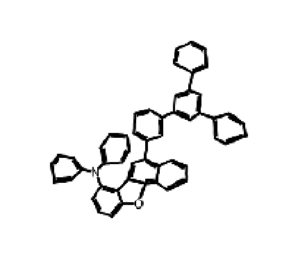 c1ccc(-c2cc(-c3ccccc3)cc(-c3cccc(-c4cc5c(oc6cccc(N(c7ccccc7)c7ccccc7)c65)c5ccccc45)c3)c2)cc1